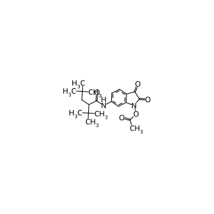 CC(=O)ON1C(=O)C(=O)c2ccc(NC(=O)C(CC(C)(C)C)C(C)(C)C)cc21